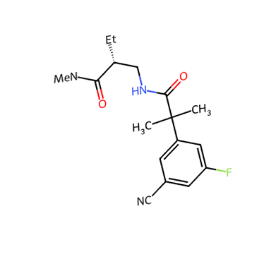 CC[C@H](CNC(=O)C(C)(C)c1cc(F)cc(C#N)c1)C(=O)NC